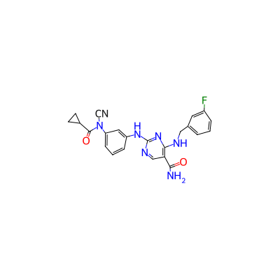 N#CN(C(=O)C1CC1)c1cccc(Nc2ncc(C(N)=O)c(NCc3cccc(F)c3)n2)c1